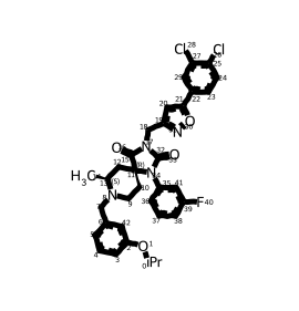 CC(C)Oc1cccc(CN2CC[C@@]3(C[C@@H]2C)C(=O)N(Cc2cc(-c4ccc(Cl)c(Cl)c4)on2)C(=O)N3c2cccc(F)c2)c1